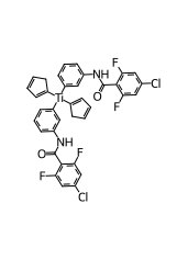 O=C(Nc1ccc[c]([Ti]([C]2=CC=CC2)([C]2=CC=CC2)[c]2cccc(NC(=O)c3c(F)cc(Cl)cc3F)c2)c1)c1c(F)cc(Cl)cc1F